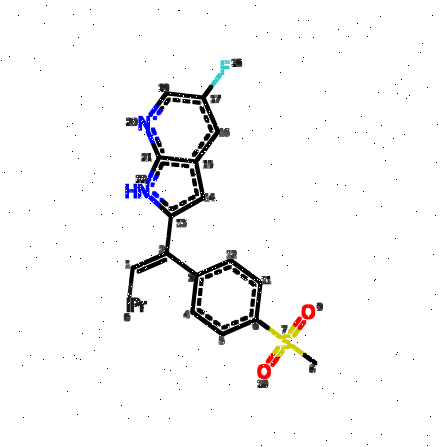 CC(C)C=C(c1ccc(S(C)(=O)=O)cc1)c1cc2cc(F)cnc2[nH]1